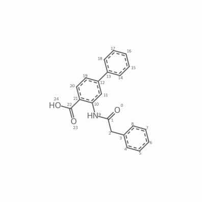 O=C(Cc1ccccc1)Nc1cc(-c2ccccc2)ccc1C(=O)O